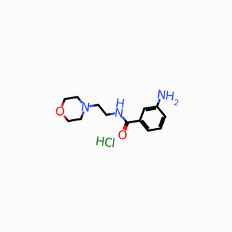 Cl.Nc1cccc(C(=O)NCCN2CCOCC2)c1